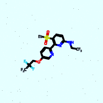 CCS(=O)(=O)c1ccc(NCC(F)(F)F)nc1-c1ccc(OCC(F)(F)C(F)(F)F)cn1